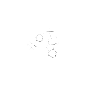 CC1(C)Oc2ccc(S(=O)(=O)C(F)(F)F)cc2[C@H](N2Cc3ccccc3C2=O)[C@H]1O